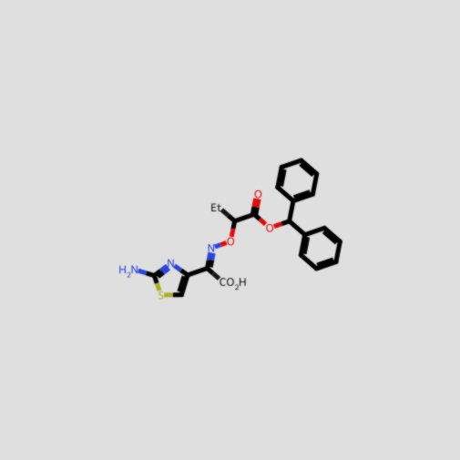 CCC(O/N=C(\C(=O)O)c1csc(N)n1)C(=O)OC(c1ccccc1)c1ccccc1